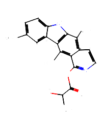 COc1ccc2[nH]c3c(C)c4ccnc(OC(=O)C(C)O)c4c(C)c3c2c1